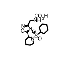 O=C(O)NCc1noc([C@@H]2CCCCN2S(=O)(=O)C2CCCCC2)n1